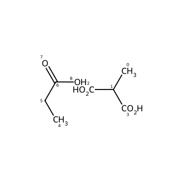 CC(C(=O)O)C(=O)O.CCC(=O)O